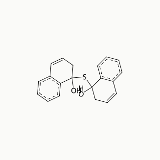 OC1(SC2(O)CC=Cc3ccccc32)CC=Cc2ccccc21